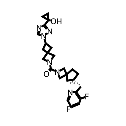 O=C(N1CC2(CC(n3cnc(C4(O)CC4)n3)C2)C1)N1CC2(CC[C@H](Cc3ncc(F)cc3F)C2)C1